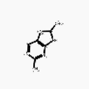 Cc1ncc2c(n1)NC(C=O)N2